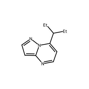 CCC(CC)c1ccnc2ccnn12